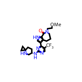 COCCN1CCCc2c(-c3nc(N[C@H]4CCC5(CC5)NC4)ncc3C(F)(F)F)c[nH]c2C1=O